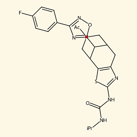 CC(=O)N1CC2Cc3nc(NC(=O)NC(C)C)sc3C(C1)C2c1nc(-c2ccc(F)cc2)no1